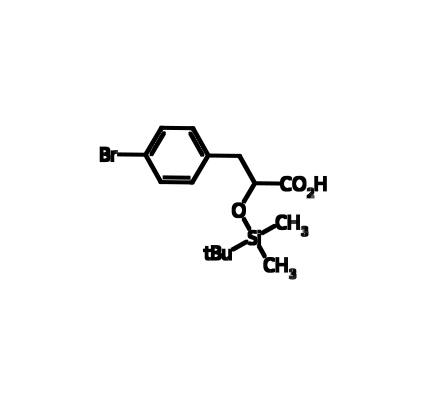 CC(C)(C)[Si](C)(C)OC(Cc1ccc(Br)cc1)C(=O)O